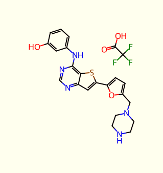 O=C(O)C(F)(F)F.Oc1cccc(Nc2ncnc3cc(-c4ccc(CN5CCNCC5)o4)sc23)c1